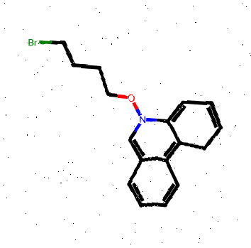 BrCCCCON1C=c2ccccc2=C2CC=CC=C21